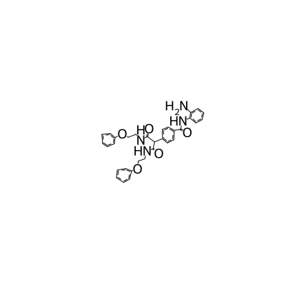 Nc1ccccc1NC(=O)c1ccc(C(C(=O)NCCOc2ccccc2)C(=O)NCCOc2ccccc2)cc1